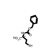 O=C(N[C@H](CCS)C(=O)O)OCc1ccccc1